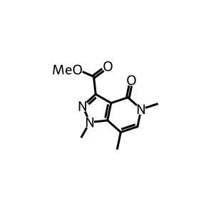 COC(=O)c1nn(C)c2c(C)cn(C)c(=O)c12